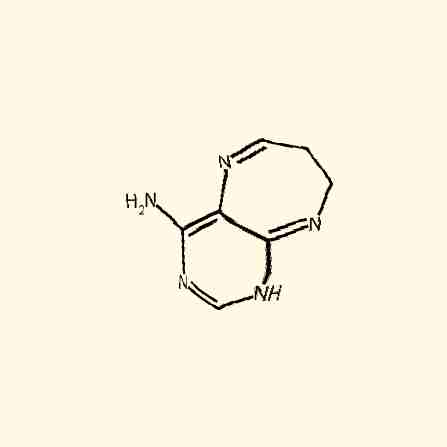 NC1=C2N=CCCN=C2NC=N1